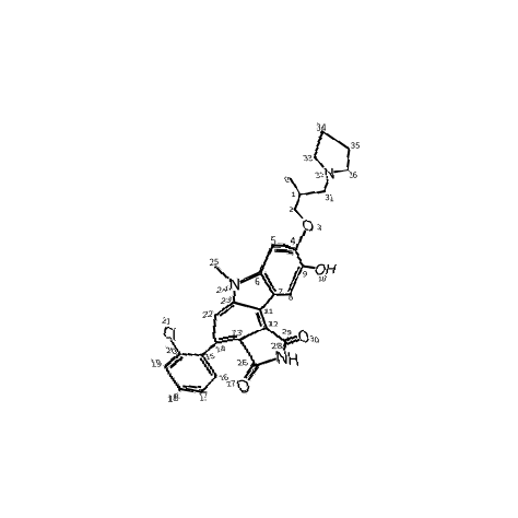 CC(COc1cc2c(cc1O)c1c3c(c(-c4ccccc4Cl)cc1n2C)C(=O)NC3=O)CN1CCCC1